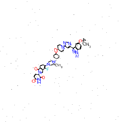 C[C@H]1CN(c2ccc3c(c2F)CN(C2CCC(=O)NC2=O)C3=O)CCN1C[C@H]1CC[C@H](OC2CCN(c3cc(-c4n[nH]c5ccc(OC6(C)CC6)cc45)ncn3)CC2)CC1